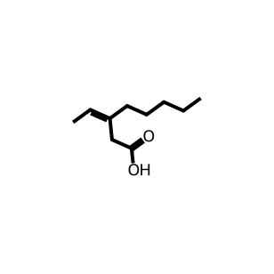 CC=C(CCCCC)CC(=O)O